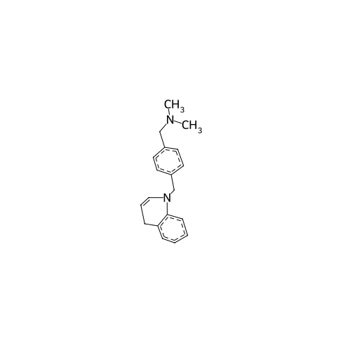 CN(C)Cc1ccc(CN2C=CCc3ccccc32)cc1